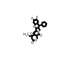 CC[C@@]1(O)CC(=O)OCc2c1cc1n(c2=O)Cc2c-1nc1cc(F)c(F)cc1c2-c1ccccc1